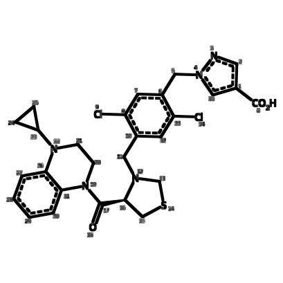 O=C(O)c1cnn(Cc2cc(Cl)c(CN3CSC[C@H]3C(=O)N3CCN(C4CC4)c4ccccc43)cc2Cl)c1